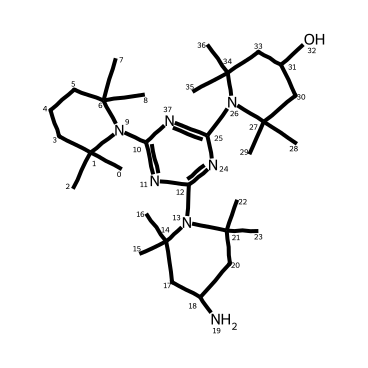 CC1(C)CCCC(C)(C)N1c1nc(N2C(C)(C)CC(N)CC2(C)C)nc(N2C(C)(C)CC(O)CC2(C)C)n1